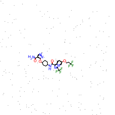 Cn1cc(C(N)=O)c(OC2CCC(NC(=O)c3nc(C(F)(F)F)n4cc(OCCC(F)(F)F)ccc34)CC2)n1